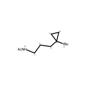 CC(=O)NCCCC1(C(C)(C)C)CC1